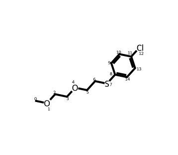 COCCOCCSc1ccc(Cl)cc1